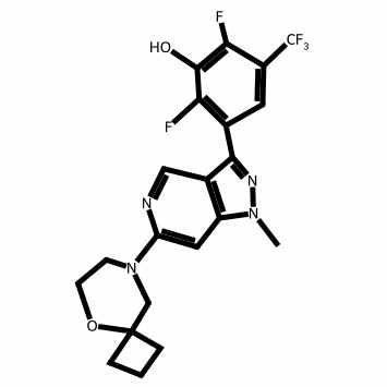 Cn1nc(-c2cc(C(F)(F)F)c(F)c(O)c2F)c2cnc(N3CCOC4(CCC4)C3)cc21